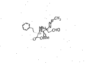 C=BN=N[C@](CC=O)(C(=O)N[C@@H](CCc1ccccc1)C(=O)OC)C(C)CC